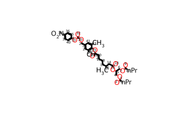 CCCC(=O)OCC(COC(=O)CCC)OC(=O)CC(C)CCCCC(=O)Oc1c(C)cc(COC(=O)Oc2ccc([N+](=O)[O-])cc2)cc1C